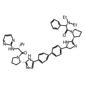 CCN(CC)[C@@H](C(=O)N1CCC[C@H]1C1=NCC(c2ccc(-c3ccc(-c4cnc([C@@H]5CCCN5C(=O)[C@H](Nc5ncccn5)C(C)C)[nH]4)cc3)cc2)N1)c1ccccc1